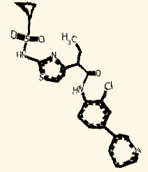 CCC(C(=O)Nc1ccc(-c2cccnc2)cc1Cl)c1csc(NS(=O)(=O)C2CC2)n1